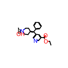 CCOC(=O)c1cncc(C(=C2CCN(B(C)O)CC2)c2ccccc2)c1